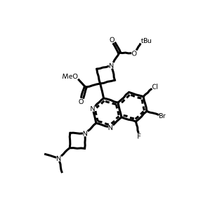 COC(=O)C1(c2nc(N3CC(N(C)C)C3)nc3c(F)c(Br)c(Cl)cc23)CN(C(=O)OC(C)(C)C)C1